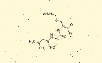 CC(=O)NCSC[C@H](NC(=O)[C@H](CO)NC(=O)CN(C)C)C(=O)C(C)C